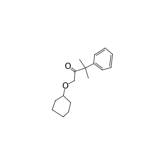 CC(C)(C(=O)COC1CCCCC1)c1ccccc1